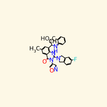 Cc1cc(C(C)Nc2ccccc2C(=O)O)c2nc(N3Cc4ccc(F)cc4C3)n(-c3cnoc3)c(=O)c2c1